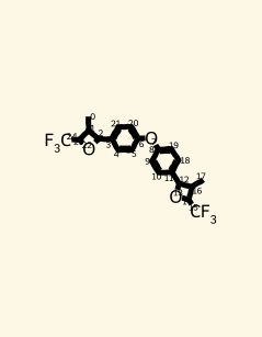 CC1C(c2ccc(Oc3ccc(C4OC(C(F)(F)F)C4C)cc3)cc2)OC1C(F)(F)F